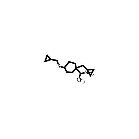 NC(C(F)(F)F)C1(CC2CC2)CCC(SCC2CC2)CC1